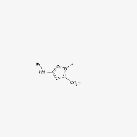 CC(C)Nc1cc(C(=O)O)n(C)c1